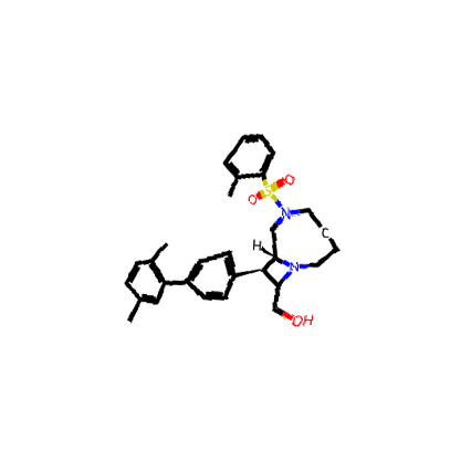 Cc1ccc(C)c(-c2ccc([C@@H]3C(CO)N4CCCCN(S(=O)(=O)c5ccccc5C)C[C@@H]34)cc2)c1